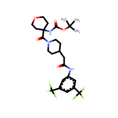 CC(C)(C)OC(=O)NC1(C(=O)N2CCC(CC(=O)Nc3cc(C(F)(F)F)cc(C(F)(F)F)c3)CC2)CCOCC1